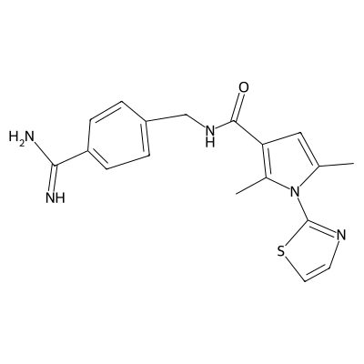 Cc1cc(C(=O)NCc2ccc(C(=N)N)cc2)c(C)n1-c1nccs1